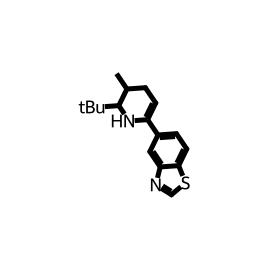 CC1CC=C(c2ccc3scnc3c2)NC1C(C)(C)C